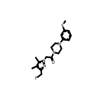 CSc1cccc(N2CCN(C(=O)Cn3nc(CF)c(C)c3C)CC2)c1